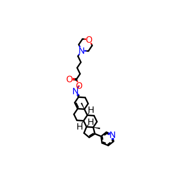 C[C@]12CCC(=NOC(=O)CCCCN3CCOCC3)C=C1CC[C@H]1[C@@H]2CC[C@]2(C)C(c3cccnc3)=CC[C@@H]12